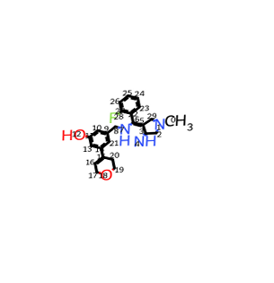 CN1CC(=N)/C(=C(\NCc2cc(O)cc(C3=CCOCC3)c2)c2ccccc2F)C1